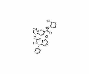 CC[C@H](OC(=O)N[C@@H](c1ccccc1)c1cncc(Cl)c1)c1ccc(C(=O)Nc2ccccc2O)cc1